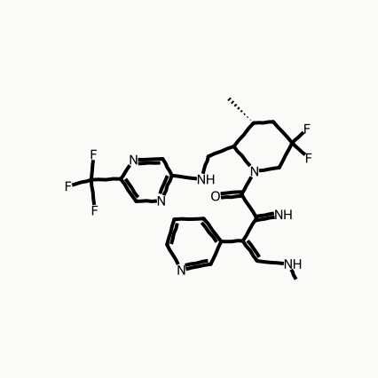 CN/C=C(\C(=N)C(=O)N1CC(F)(F)C[C@@H](C)C1CNc1cnc(C(F)(F)F)cn1)c1cccnc1